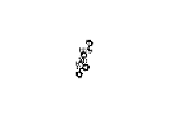 O=C(Nc1ccc(S(=O)(=O)Nc2ccccc2C(=O)c2ccccc2)cc1)c1ccccn1